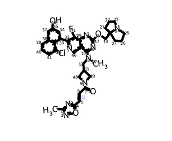 Cc1noc(/C=C/C(=O)N2CC(CN(C)c3nc(OCC45CCCN4CCC5)nc4c(F)c(-c5cc(O)cc6cccc(Cl)c56)ncc34)C2)n1